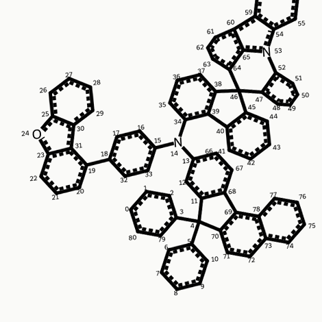 c1ccc(C2(c3ccccc3)c3cc(N(c4ccc(-c5cccc6oc7ccccc7c56)cc4)c4cccc5c4-c4ccccc4C54c5ccccc5-n5c6ccccc6c6cccc4c65)ccc3-c3c2ccc2ccccc32)cc1